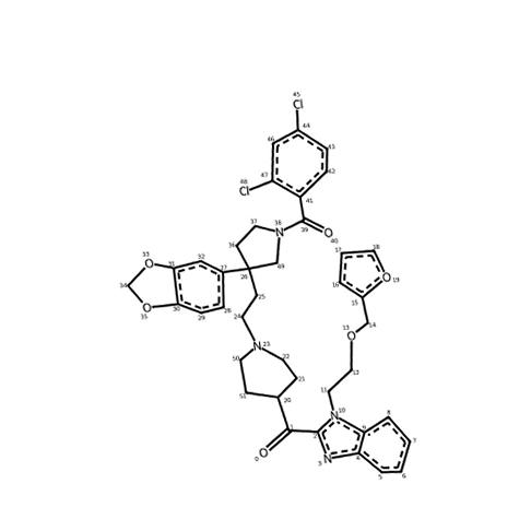 O=C(c1nc2ccccc2n1CCOCc1ccco1)C1CCN(CCC2(c3ccc4c(c3)OCO4)CCN(C(=O)c3ccc(Cl)cc3Cl)C2)CC1